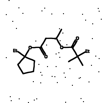 CCC1(OC(=O)CC(C)OC(=O)C(C)(C)CC)CCCC1